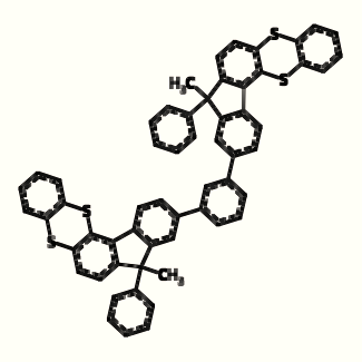 CC1(c2ccccc2)c2cc(-c3cccc(-c4ccc5c(c4)C(C)(c4ccccc4)c4ccc6c(c4-5)Sc4ccccc4S6)c3)ccc2-c2c1ccc1c2Sc2ccccc2S1